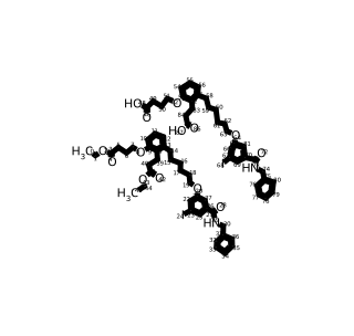 CCOC(=O)CCCOc1cccc(CCCCCCOc2cc(I)cc(C(=O)NCc3ccccc3)c2)c1CCC(=O)OCC.O=C(O)CCCOc1cccc(CCCCCCOc2cc(I)cc(C(=O)NCc3ccccc3)c2)c1CCC(=O)O